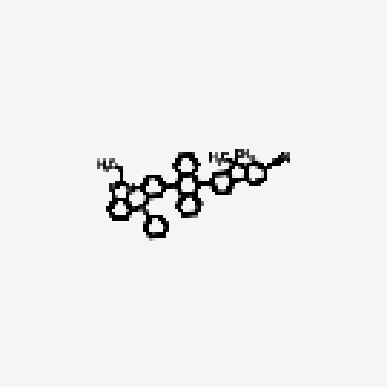 CCc1nc2cccc3c2n1-c1ccc(-c2c4ccccc4c(-c4ccc5c(c4)C(C)(C)c4cc(C#N)ccc4-5)c4ccccc24)cc1N3c1ccccc1